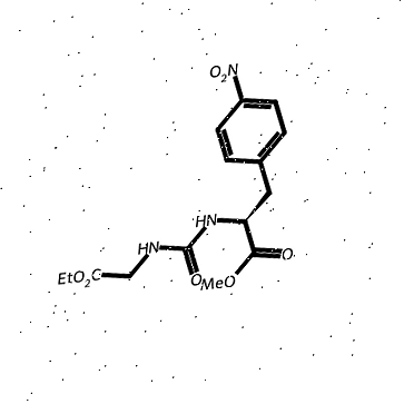 CCOC(=O)CNC(=O)N[C@@H](Cc1ccc([N+](=O)[O-])cc1)C(=O)OC